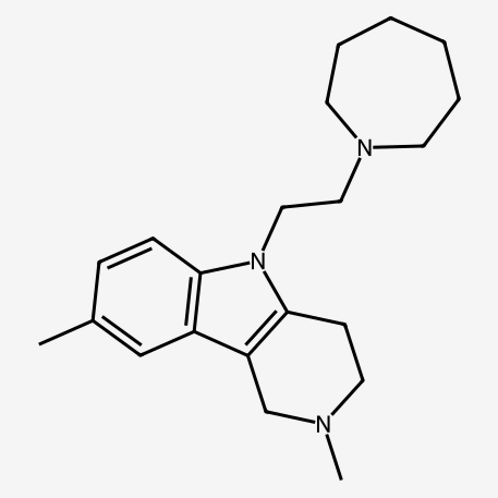 Cc1ccc2c(c1)c1c(n2CCN2CCCCCC2)CCN(C)C1